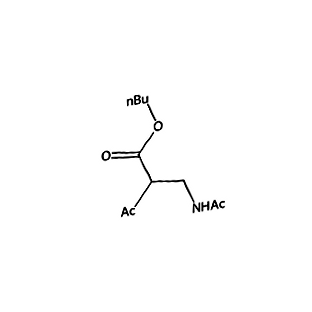 CCCCOC(=O)C(CNC(C)=O)C(C)=O